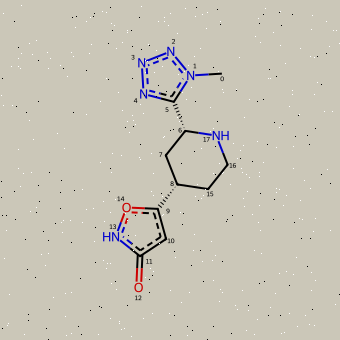 Cn1nnnc1[C@H]1C[C@@H](c2cc(=O)[nH]o2)CCN1